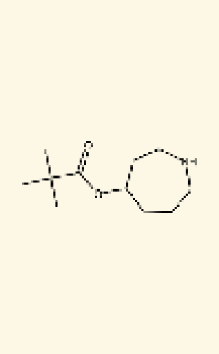 CC(C)(C)C(=O)OC1CCCNCC1